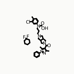 Cc1ccc(N(CCCN2CC3CN(C(=O)c4c(C)nn(-c5ccccc5)c4C)CC3C2)C(=O)O)cc1Cl.FC1(F)CCCCC1